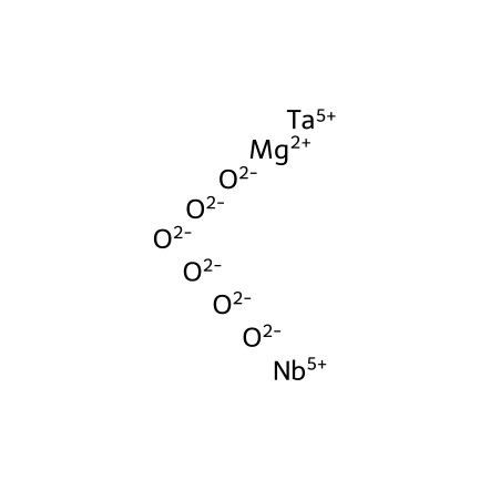 [Mg+2].[Nb+5].[O-2].[O-2].[O-2].[O-2].[O-2].[O-2].[Ta+5]